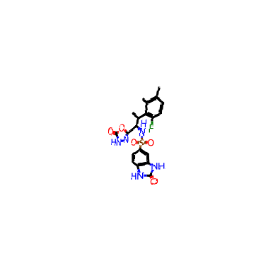 Cc1ccc(F)c(C(C)C(NS(=O)(=O)c2ccc3[nH]c(=O)[nH]c3c2)c2n[nH]c(=O)o2)c1C